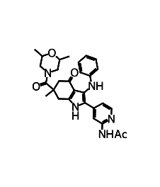 CC(=O)Nc1cc(-c2[nH]c3c(c2Nc2ccccc2)C(=O)CC(C)(C(=O)N2CC(C)OC(C)C2)C3)ccn1